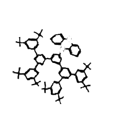 CC(C)(C)c1cc(-c2cc(-c3cc(-c4cc(-c5cc(C(C)(C)C)cc(C(C)(C)C)c5)cc(-c5cc(C(C)(C)C)cc(C(C)(C)C)c5)c4)cc(N4c5ccccc5Oc5ccccc54)c3)cc(-c3cc(C(C)(C)C)cc(C(C)(C)C)c3)c2)cc(C(C)(C)C)c1